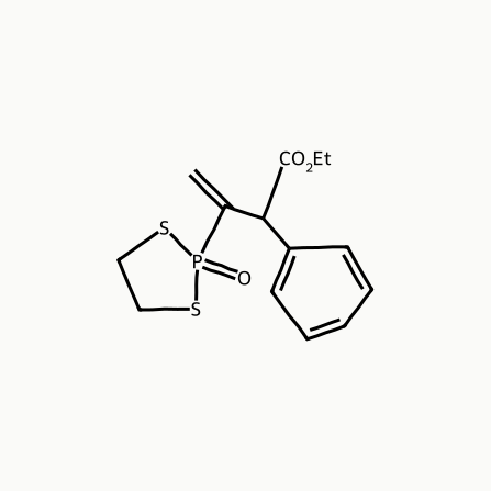 C=C(C(C(=O)OCC)c1ccccc1)P1(=O)SCCS1